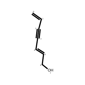 C=CC#CC=CCO